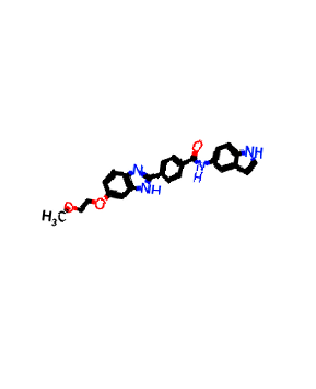 COCCOc1ccc2nc(-c3ccc(C(=O)Nc4ccc5[nH]ccc5c4)cc3)[nH]c2c1